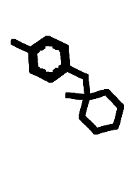 Cc1ccc(CC2(C)CCCCC2)cc1